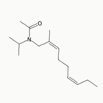 CC/C=C\CC/C=C(/C)CN(C(C)=O)C(C)C